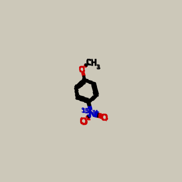 COc1ccc([15N+](=O)[O-])cc1